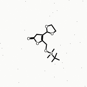 CC(C)(C)[Si](C)(C)OCC1=C(C2OCCO2)CC(=O)O1